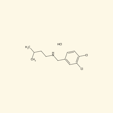 CC(C)CCNCc1ccc(Cl)c(Cl)c1.Cl